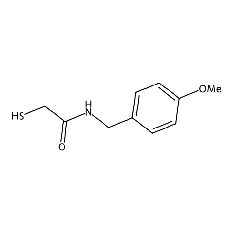 COc1ccc(CNC(=O)CS)cc1